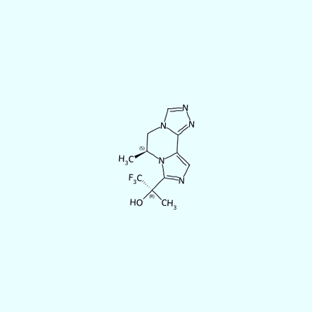 C[C@H]1Cn2cnnc2-c2cnc([C@@](C)(O)C(F)(F)F)n21